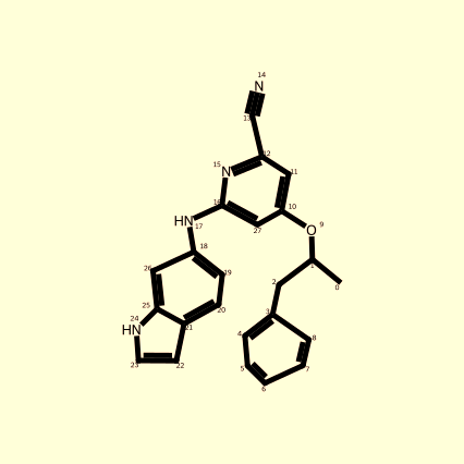 CC(Cc1ccccc1)Oc1cc(C#N)nc(Nc2ccc3cc[nH]c3c2)c1